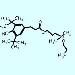 CCCO[Si](C)(C)CCCOC(=O)CCc1cc(C(C)(C)C)c(O)c(C(C)(C)C)c1